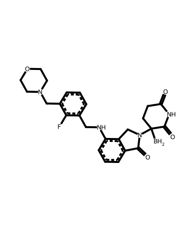 BC1(N2Cc3c(NCc4cccc(CN5CCOCC5)c4F)cccc3C2=O)CCC(=O)NC1=O